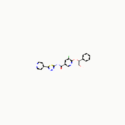 O=C(Nc1nnc(-c2ccncc2)s1)c1cnc(OC(CO)c2ccccc2)c(Cl)c1